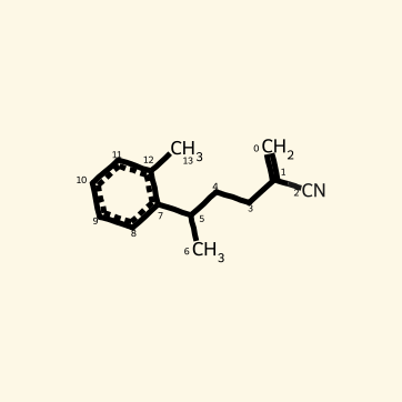 C=C(C#N)CCC(C)c1ccccc1C